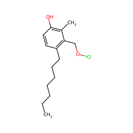 CCCCCCCc1ccc(O)c(C)c1COCl